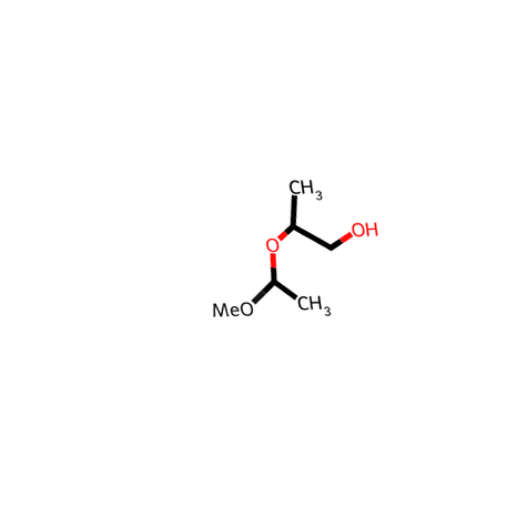 COC(C)OC(C)CO